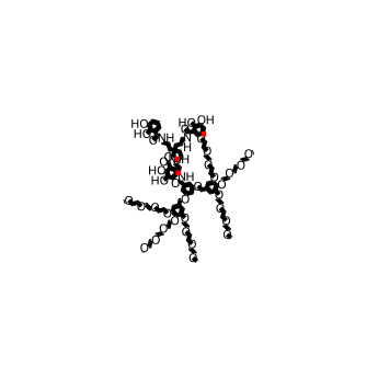 COCCOCCOCCOc1cc(COc2cc(OCc3cc(OCCOCCOCCOC)c(OCCOCCOCCOC)c(OCCOCCOCCOC)c3)cc(C(=O)NCCCNC(=O)C(CCCNC(=O)c3cccc(O)c3O)(CCCNC(=O)c3cccc(O)c3O)CCCNC(=O)c3cccc(O)c3O)c2)cc(OCCOCCOCCOC)c1OCCOCCOCCOC